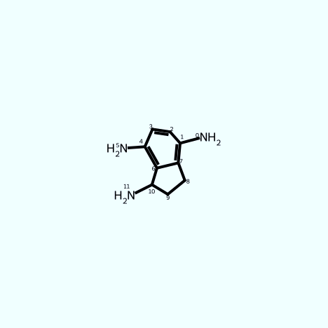 Nc1ccc(N)c2c1CCC2N